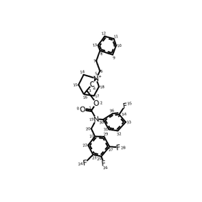 O=C(OC1C[N+]2(CCc3ccccc3)CCC1CC2)N(Cc1cc(F)c(F)c(F)c1)c1cccc(F)c1